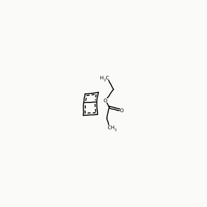 CCOC(=O)CC.c1cc2ccc1-2